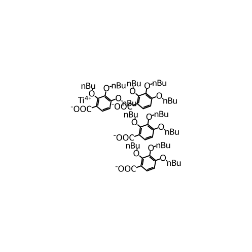 CCCCOc1ccc(C(=O)[O-])c(OCCCC)c1OCCCC.CCCCOc1ccc(C(=O)[O-])c(OCCCC)c1OCCCC.CCCCOc1ccc(C(=O)[O-])c(OCCCC)c1OCCCC.CCCCOc1ccc(C(=O)[O-])c(OCCCC)c1OCCCC.[Ti+4]